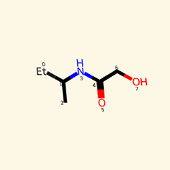 CCC(C)NC(=O)CO